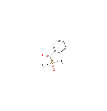 C[SH](C)(=O)C(=O)c1ccccc1